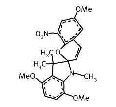 COc1cc2c(c([N+](=O)[O-])c1)OC1(C=C2)N(C)c2c(OC)ccc(OC)c2C1(C)C